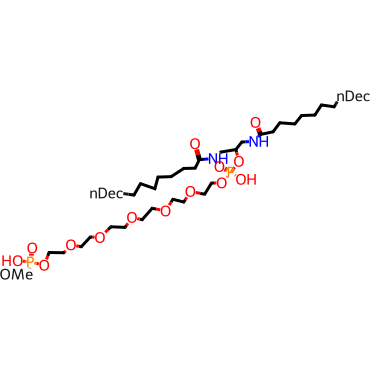 CCCCCCCCCCCCCCCCCC(=O)NCC(CNC(=O)CCCCCCCCCCCCCCCCC)OP(=O)(O)OCCOCCOCCOCCOCCOCCOP(=O)(O)OC